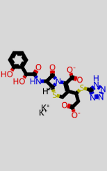 O=C([O-])CC(Sc1nnn[nH]1)C1=C(C(=O)[O-])N2C(=O)C(NC(=O)C(O)c3ccccc3O)[C@@H]2SC1.[K+].[K+]